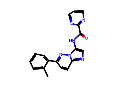 Cc1ccccc1-c1ccc2ncc(NC(=O)c3ncccn3)n2n1